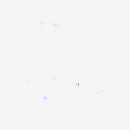 CC[C@H](C)c1nc2ccc(C(F)(F)F)nc2n1-c1ccc2[nH]ncc2c1